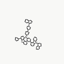 c1ccc(-c2ccc(N(c3ccc(-c4ccc(-c5cccc6ccccc56)cc4)cc3)c3ccc(-c4cccc5c4c4ccccc4n5-c4cccc5ccccc45)cc3)c3c2sc2ccccc23)cc1